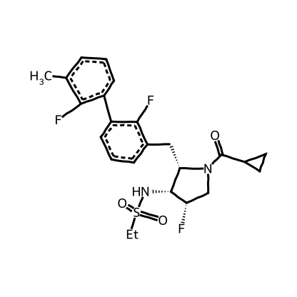 CCS(=O)(=O)N[C@H]1[C@@H](F)CN(C(=O)C2CC2)[C@H]1Cc1cccc(-c2cccc(C)c2F)c1F